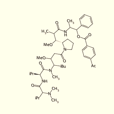 CCC(C)C(C(CC(=O)N1CCC[C@H]1C(OC)C(C)C(=O)NC(C)C(OC(=O)c1ccc(C(C)=O)cc1)c1ccccc1)OC)N(C)C(=O)[C@@H](NC(=O)C(C(C)C)N(C)C)C(C)C